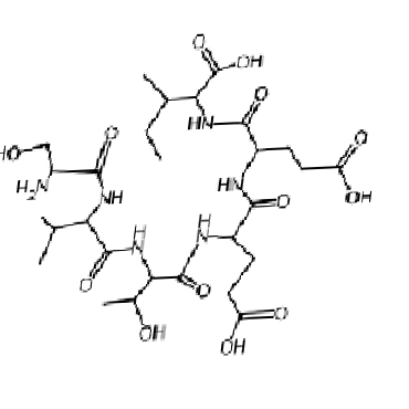 CCC(C)C(NC(=O)C(CCC(=O)O)NC(=O)C(CCC(=O)O)NC(=O)C(NC(=O)C(NC(=O)C(N)CO)C(C)C)C(C)O)C(=O)O